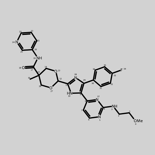 COCCNc1nccc(-c2[nH]c(C3OCC(C)(C(=O)Nc4cccnc4)CO3)nc2-c2ccc(F)cc2)n1